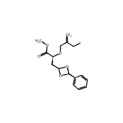 C=C(CI)CO[C@@H](CC1OC(c2ccccc2)O1)C(=O)OC